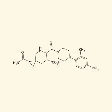 Cc1cc([N+](=O)[O-])ccc1N1CCN(C(=O)C2NCC3(CC2C(=O)O)CC3C(N)=O)CC1